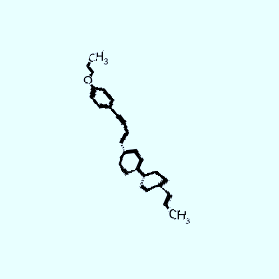 CCCOc1ccc(C#CC=C[C@H]2CC[C@H]([C@H]3CC[C@H](CCC)CC3)CC2)cc1